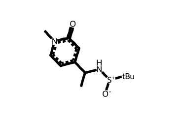 CC(N[S+]([O-])C(C)(C)C)c1ccn(C)c(=O)c1